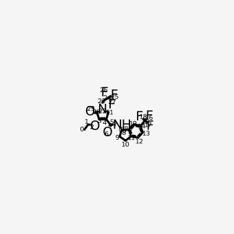 CCOC1=C(C(=O)N[C@@H]2CCc3ccc(C(F)(F)F)cc32)CN(CC(F)(F)F)C1=O